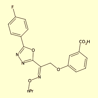 CCCON=C(COc1cccc(C(=O)O)c1)c1nnc(-c2ccc(F)cc2)o1